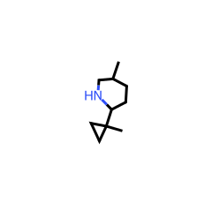 CC1CCC(C2(C)CC2)NC1